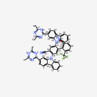 Cc1nc(C)nc(-c2ccc3c4ccccc4n(-c4cc(-c5c(C#N)cccc5C(F)(F)F)c(-n5c6ccccc6c6ccc(-c7nc(C)nc(C)n7)cc65)cc4C#N)c3c2)n1